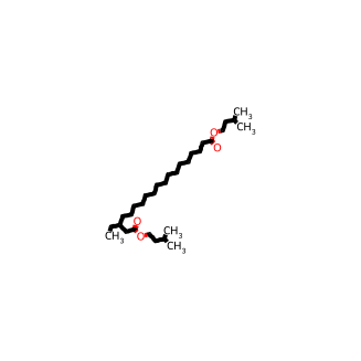 CCC(CCCCCCCCCCCCCCCC(=O)OCCC(C)C)CC(=O)OCCC(C)C